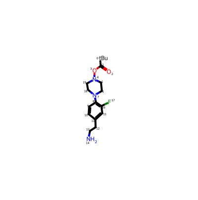 CC(C)(C)C(=O)ON1CCN(c2ccc(CCN)cc2F)CC1